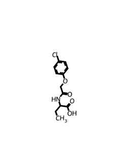 CCC(NC(=O)COc1ccc(Cl)cc1)C(=O)O